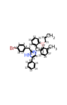 Brc1ccc(Cc2ncc(-c3ccccc3)[nH]2)cc1.C=CCB(c1ccccc1C)c1ccccc1C